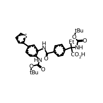 CCC(NC(=O)OC(C)(C)C)(C(=O)O)c1ccc(C(=O)Nc2cc(-c3cccs3)ccc2NC(=O)OC(C)(C)C)cc1